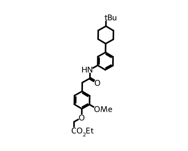 CCOC(=O)COc1ccc(CC(=O)Nc2cccc(C3CCC(C(C)(C)C)CC3)c2)cc1OC